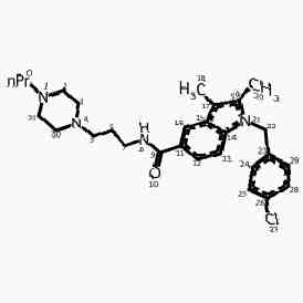 CCCN1CCN(CCCNC(=O)c2ccc3c(c2)c(C)c(C)n3Cc2ccc(Cl)cc2)CC1